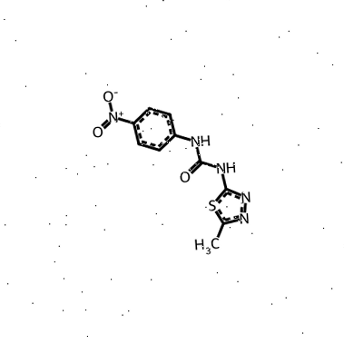 Cc1nnc(NC(=O)Nc2ccc([N+](=O)[O-])cc2)s1